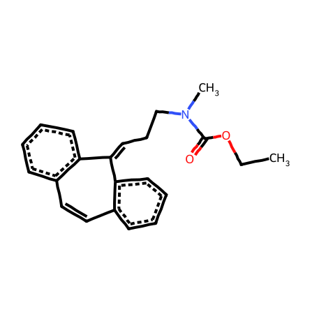 CCOC(=O)N(C)CCC=C1c2ccccc2C=Cc2ccccc21